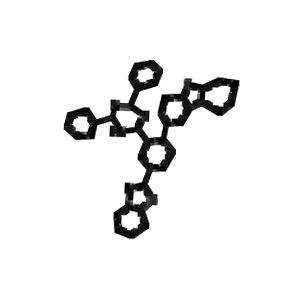 c1ccc(C2=NC(c3ccccc3)NC(c3cc(-c4nc5ccccc5s4)ccc3-c3ccc4sc5ccccc5c4c3)=N2)cc1